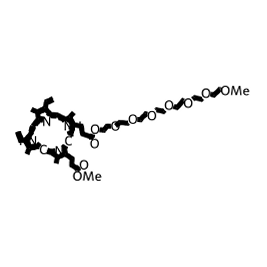 C=CC1=C(C)c2cc3[nH]c(cc4nc(cc5[nH]c(cc1n2)c(C)c5CCC(=O)OCCOCCOCCOCCOCCOCCOCCOC)C(CCC(=O)OC)C4C)c(C)c3C=C